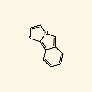 c1ccc2c(c1)cn1ccsc21